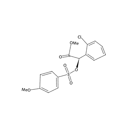 COC(=O)[C@H](OS(=O)(=O)c1ccc(OC)cc1)c1ccccc1Cl